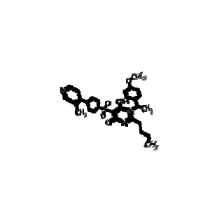 CCCCc1nc(=O)c(S(=O)(=O)c2ccc(-c3ccncc3C)cc2)c(O)n1C(C)c1ccc(OC)cc1